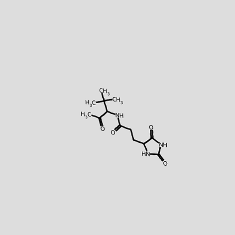 CC(=O)C(NC(=O)CCC1NC(=O)NC1=O)C(C)(C)C